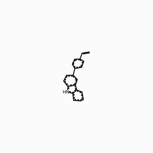 C=Cc1ccc(-c2ccc3[nH]c4ccccc4c3c2)cc1